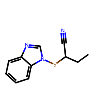 CCC(C#N)Sn1cnc2ccccc21